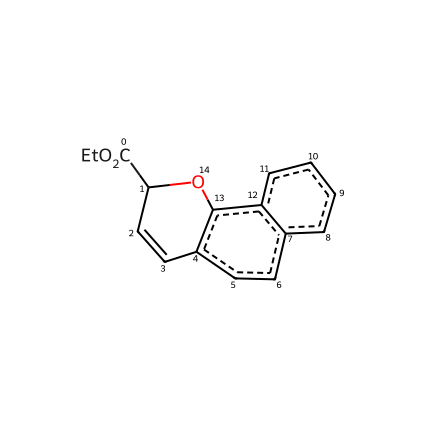 CCOC(=O)C1C=Cc2ccc3ccccc3c2O1